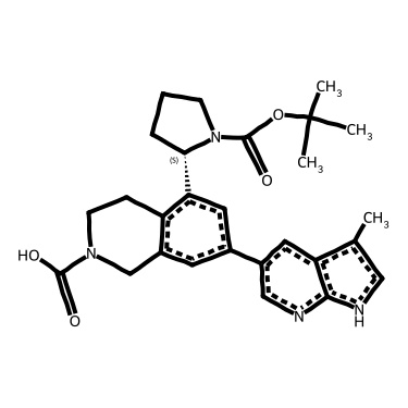 Cc1c[nH]c2ncc(-c3cc4c(c([C@@H]5CCCN5C(=O)OC(C)(C)C)c3)CCN(C(=O)O)C4)cc12